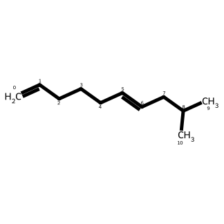 C=CCCCC=CCC(C)C